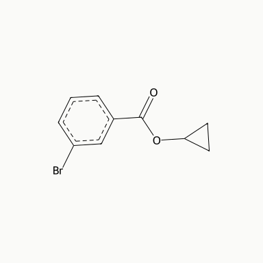 O=C(OC1CC1)c1cccc(Br)c1